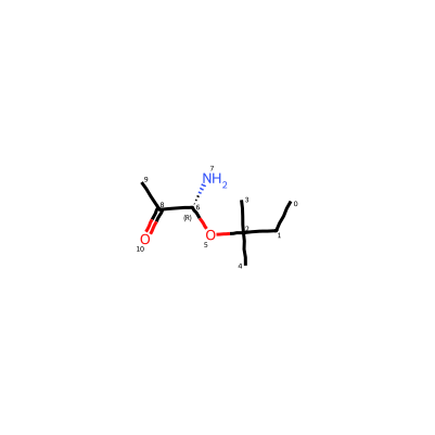 CCC(C)(C)O[C@@H](N)C(C)=O